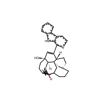 O[C@]12C=C(c3nccc4c3[nH]c3ccccc34)[C@@H]3CC[N@]4CCCC5(/C=C\CC1)C[C@@]3(C4)[C@H]2N1CCCC/C=C\[C@H]15